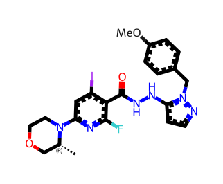 COc1ccc(Cn2nccc2NNC(=O)c2c(I)cc(N3CCOC[C@H]3C)nc2F)cc1